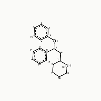 c1ccc(OC(CC2CCCCN2)c2ccccc2)cc1